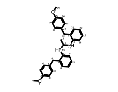 COc1ccc(Cc2ccccc2PC(C)Pc2ccccc2Cc2ccc(OC)cc2)cc1